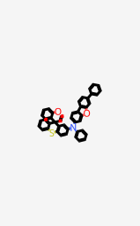 c1ccc(-c2ccc3c(c2)oc2cc(N(c4ccccc4)c4ccc5c(c4)C4(c6ccccc6Oc6ccccc64)c4ccccc4S5)ccc23)cc1